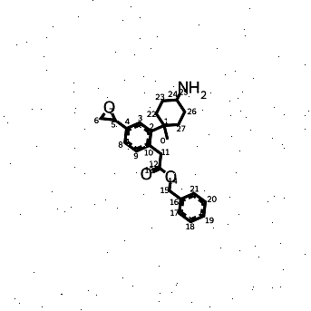 CC1(c2cc(C3CO3)ccc2CC(=O)OCc2ccccc2)CCC(N)CC1